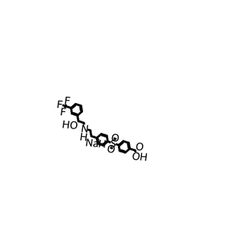 O=C(O)c1ccc(S(=O)(=O)c2ccc(CCNC[C@@H](O)c3cccc(C(F)(F)F)c3)cc2)cc1.[NaH]